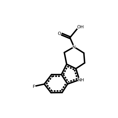 O=C(O)N1CCc2[nH]c3ccc(F)cc3c2C1